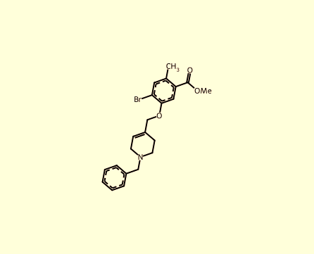 COC(=O)c1cc(OCC2=CCN(Cc3ccccc3)CC2)c(Br)cc1C